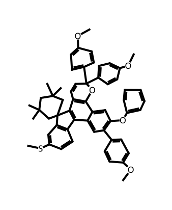 COc1ccc(-c2cc3c4c(c5c(c3cc2Oc2ccccc2)OC(c2ccc(OC)cc2)(c2ccc(OC)cc2)C=C5)C2(CC(C)(C)CC(C)(C)C2)c2cc(SC)ccc2-4)cc1